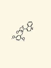 COc1ccc(OC)c(CN2C(=O)CSC2c2ccnc3ccccc23)c1